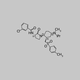 Cc1ccc(S(=O)(=O)C[C@@H]2C[C@H](N(C)C(C)C)CC[C@@H]2N2CC[C@H](NC(=O)c3cccc(Cl)c3)C2=O)cc1